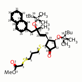 COC(=O)CSCCCS[C@H]1C(=O)C[C@@H](O[Si](C)(C)C(C)(C)C)[C@@H]1/C=C/C(C)(Cc1ccc2ccccc2c1)O[Si](C)(C)C(C)(C)C